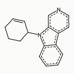 C1=CC(n2c3ccccc3c3ccncc32)CCC1